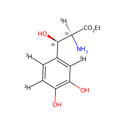 [2H]c1c([2H])c([C@@H](O)[C@]([2H])(N)C(=O)OCC)c([2H])c(O)c1O